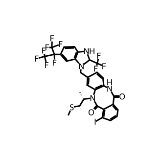 CSC[C@H](C)N1C(=O)c2c(I)cccc2C(=O)Nc2ccc(CN3c4cc(C(F)(C(F)(F)F)C(F)(F)F)ccc4NC3C(F)(F)F)cc21